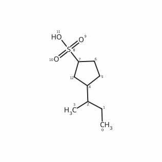 CCC(C)C1CCC(S(=O)(=O)O)C1